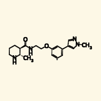 C[C@@H]1NCCC[C@H]1C(=O)NCCOc1c[c]cc(-c2cnn(C)c2)c1